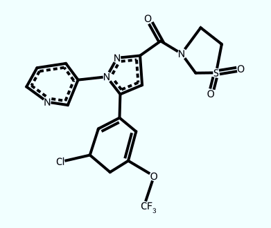 O=C(c1cc(C2=CC(Cl)CC(OC(F)(F)F)=C2)n(-c2cccnc2)n1)N1CCS(=O)(=O)C1